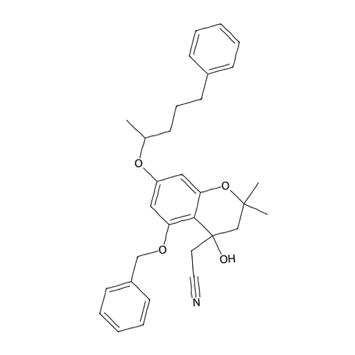 CC(CCCc1ccccc1)Oc1cc(OCc2ccccc2)c2c(c1)OC(C)(C)CC2(O)CC#N